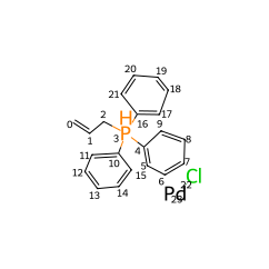 C=CC[PH](c1ccccc1)(c1ccccc1)c1ccccc1.[Cl][Pd]